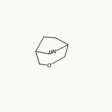 C1CC2COCC1CN2